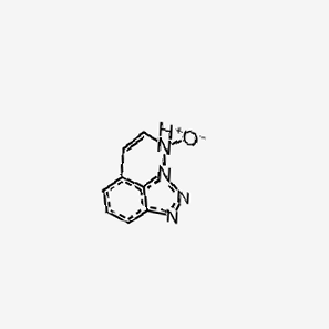 [O-][NH+]1C=Cc2cccc3nnn1c23